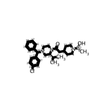 CB(O)N1CCC(CC(=O)N2CCN(C(c3ccccc3)c3ccc(Cl)cc3)C[C@@H]2C(C)C)CC1